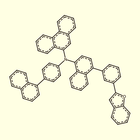 c1cc(-c2cc3ccccc3o2)cc(-c2ccc(N(c3ccc(-c4cccc5ccccc45)cc3)c3cc4ccccc4c4ccccc34)c3ccccc23)c1